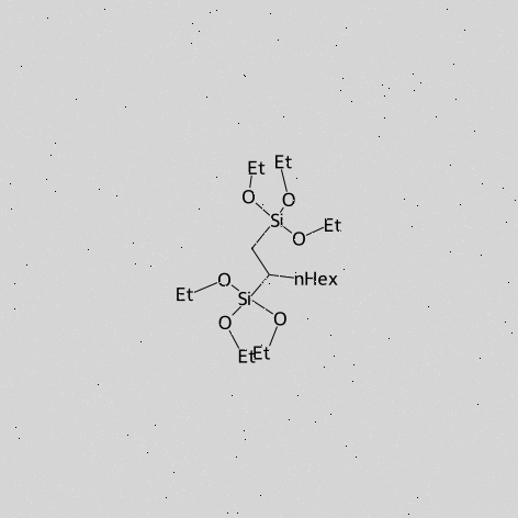 CCCCCCC(C[Si](OCC)(OCC)OCC)[Si](OCC)(OCC)OCC